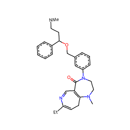 CCC1=CCC2=C(C=N1)C(=O)N(c1cccc(COC(CCNC)c3ccccc3)c1)CCN2C